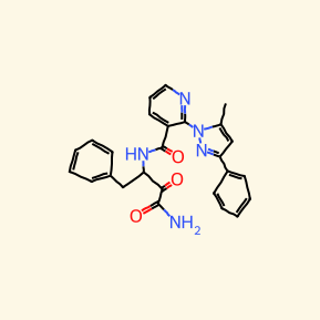 Cc1cc(-c2ccccc2)nn1-c1ncccc1C(=O)NC(Cc1ccccc1)C(=O)C(N)=O